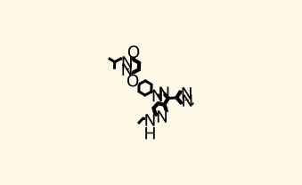 CCNc1cc2c(cn1)c(-c1cnn(C)c1)nn2C1CCC(Oc2ccc(=O)n(CC(C)C)n2)CC1